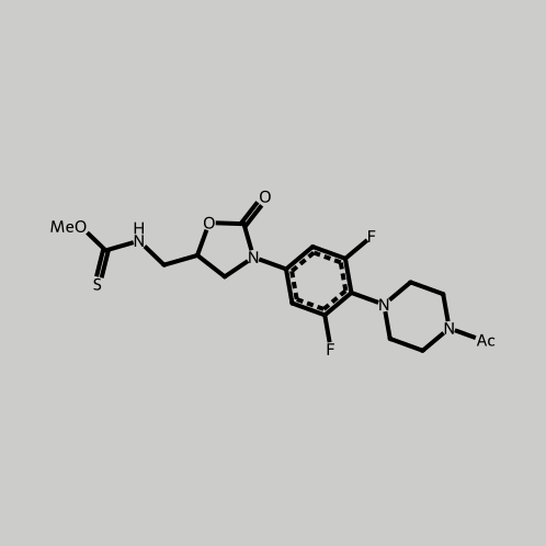 COC(=S)NCC1CN(c2cc(F)c(N3CCN(C(C)=O)CC3)c(F)c2)C(=O)O1